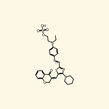 CCN(CCOS(=O)(=O)O)c1ccc(/N=N/c2nc(N3CCCCC3)c(/C=C3/COc4ccccc4C3=O)s2)cc1